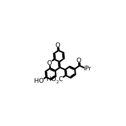 CC(C)C(=O)c1ccc(C(=O)O)c(-c2c3ccc(=O)cc-3oc3cc(O)ccc23)c1